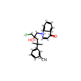 CC(C)(CC(O)(CF)Cn1ccc(=O)c2ccccc21)c1cccc(C#N)c1